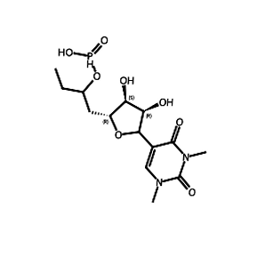 CCC(C[C@H]1OC(c2cn(C)c(=O)n(C)c2=O)[C@H](O)[C@@H]1O)O[PH](=O)O